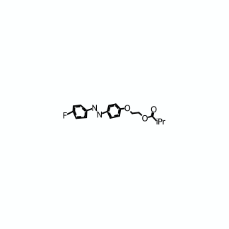 CC(C)C(=O)OCCOc1ccc(/N=N/c2ccc(F)cc2)cc1